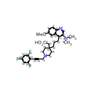 COc1ccc2ncc(N(C)C)c(CCCC3(CC(=O)O)CCN(CC#Cc4c(F)cc(F)cc4F)CC3)c2c1